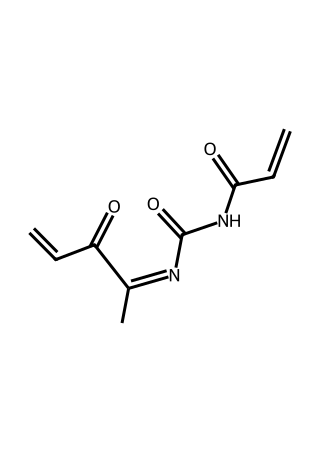 C=CC(=O)NC(=O)N=C(C)C(=O)C=C